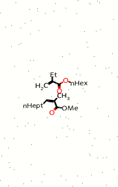 C=C(CC)C(=O)OCCCCCC.CCCCCCCC=C(C)C(=O)OC